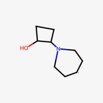 OC1CCC1N1CC[CH]CC1